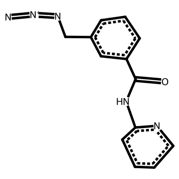 [N-]=[N+]=NCc1cccc(C(=O)Nc2ccccn2)c1